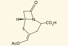 CC(=O)OC=C1CC(C(=O)O)N2C(=O)C[C@H]2S1